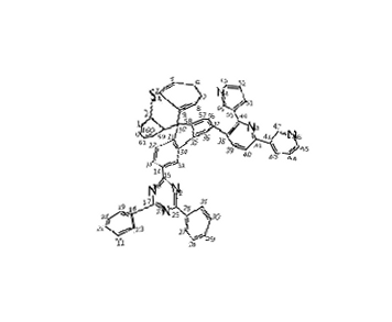 C1=CC2SC3=CCCC=C3C3(c4ccc(-c5nc(-c6ccccc6)nc(-c6ccccc6)n5)cc4-c4cc(-c5ccc(-c6cccnc6)nc5-c5cccnc5)ccc43)C2C=C1